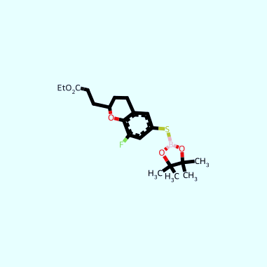 CCOC(=O)CCC1CCc2cc(SB3OC(C)(C)C(C)(C)O3)cc(F)c2O1